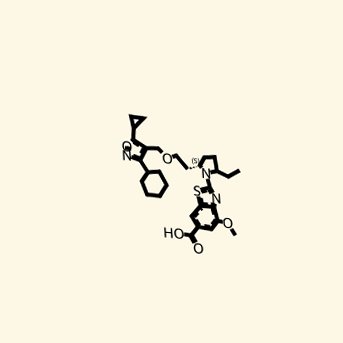 CCC1CC[C@@H](CCOCc2c(C3CCCCC3)noc2C2CC2)N1c1nc2c(OC)cc(C(=O)O)cc2s1